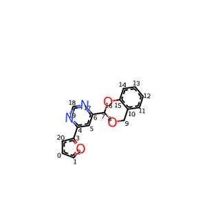 c1coc(-c2cc(C3OCc4ccccc4O3)ncn2)c1